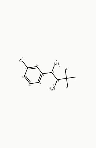 CC(C)(C)C(N)C(N)c1cccc(Cl)c1